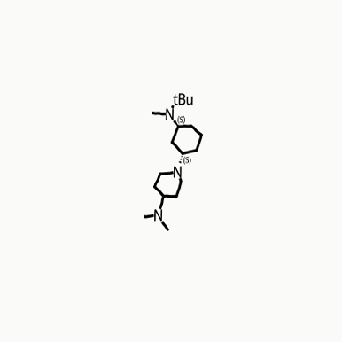 CN(C)C1CCN([C@H]2CCC[C@H](N(C)C(C)(C)C)C2)CC1